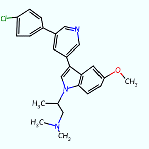 COc1ccc2c(c1)c(-c1cncc(-c3ccc(Cl)cc3)c1)cn2C(C)CN(C)C